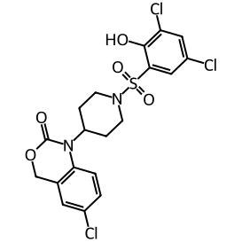 O=C1OCc2cc(Cl)ccc2N1C1CCN(S(=O)(=O)c2cc(Cl)cc(Cl)c2O)CC1